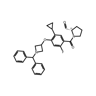 O=C[C@@H]1CCCN1C(=O)c1cc(C2CC2)c(OC2CN(C(c3ccccc3)c3ccccc3)C2)cc1F